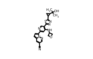 CC(C)(O)C1CC1c1nnc(-c2cnc(-c3ccc4cc(C#N)cnn34)cc2NC2COC2)s1